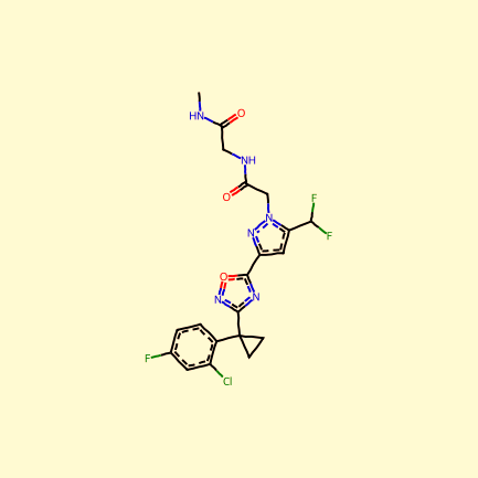 CNC(=O)CNC(=O)Cn1nc(-c2nc(C3(c4ccc(F)cc4Cl)CC3)no2)cc1C(F)F